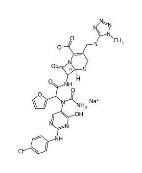 Cn1nnnc1SCC1=C(C(=O)[O-])N2C(=O)C(NC(=O)C(c3ccco3)N(C(N)=O)c3cnc(Nc4ccc(Cl)cc4)nc3O)[C@@H]2SC1.[Na+]